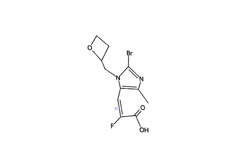 Cc1nc(Br)n(CC2CCO2)c1/C=C(/F)C(=O)O